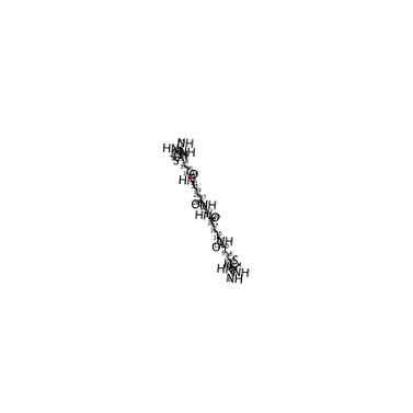 N=C1NC2CSC(CCCCC(=O)NCCCCCC(=O)NCCNC(=O)CCCCCNC(=O)CCCC[C@@H]3SCC4NC(=N)N[C@@H]43)[C@H]2N1